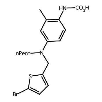 CCCCCN(Cc1ccc(Br)s1)c1ccc(NC(=O)O)c(C)c1